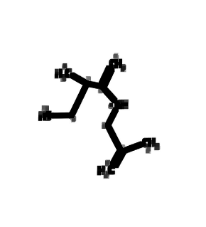 C=C(C)CNC(=C)C(C)CS